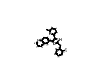 Cc1cccc(-c2[nH]c(Cc3ccccc3F)nc2-c2ccc3ncccc3c2)n1